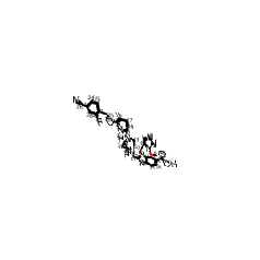 CCn1nncc1Cn1c(CN2CCN(c3cccc(OCc4ccc(C#N)cc4F)n3)[C@@H]3C[C@@H]32)nc2ccc(C(=O)O)cc21